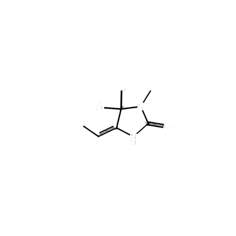 C/C=C1/NC(=O)N(C)C1(C)CC